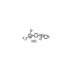 Cl.O=C(Nc1ccc(-n2nc(C(F)(F)F)cc2C2CC2)cc1)c1ccncc1